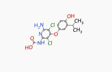 CC(C)c1cc(Oc2c(Cl)c(N)nc(NC(=O)O)c2Cl)ccc1O